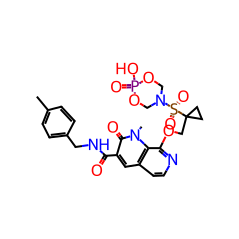 Cc1ccc(CNC(=O)c2cc3ccnc(OCC4(S(=O)(=O)N5COP(=O)(O)OC5)CC4)c3n(C)c2=O)cc1